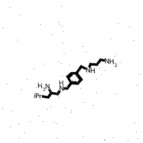 CC(C)CC(N)CNCc1ccc(CNCCCN)cc1